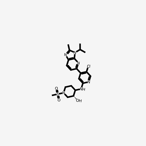 Cc1nc2ccc(-c3cc(NC4CCN(S(C)(=O)=O)C[C@H]4O)ncc3Cl)nc2n1C(C)C